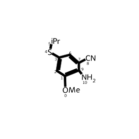 COc1cc(SC(C)C)cc(C#N)c1N